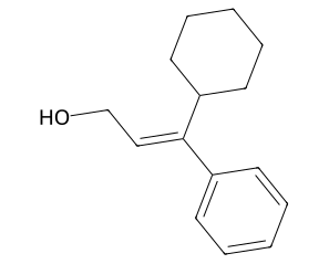 OCC=C(c1ccccc1)C1CCCCC1